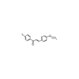 COc1ccc(C=CC(=O)c2ccc(I)cc2)cc1